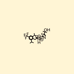 CC(C)c1cc(C(F)(F)F)cc(C(C)C)c1CC(=O)NS(=O)(=O)c1ncc(C(C)(C)O)s1